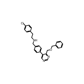 Clc1ccc(CCNCc2ccc(-c3cncnc3COCc3ccccc3)cc2)cc1